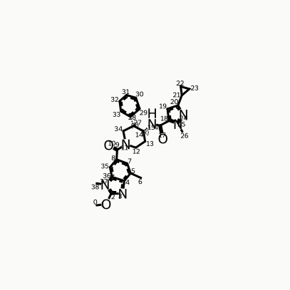 COc1nc2c(C)cc(C(=O)N3CC[C@@H](NC(=O)c4cc(C5CC5)nn4C)[C@@H](c4ccccc4)C3)cc2n1C